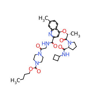 CCCCOC(=O)N1CCN(C(=O)CNC(=O)c2cc(O[C@H](C)C(=O)N3CCC[C@H]3C(=O)NC3CCC3)c3ccc(C)cc3n2)CC1